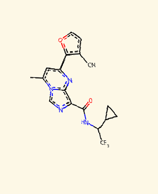 Cc1cc(-c2occc2C#N)nc2c(C(=O)NC(C3CC3)C(F)(F)F)ncn12